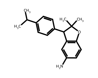 CC(C)c1ccc(C2c3cc(N)ccc3OC2(C)C)cc1